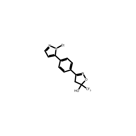 CCn1nccc1-c1ccc(C2=NOC(O)(C(F)(F)F)C2)cc1